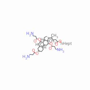 CCCCCCCOC(=O)CC[C@@H](C)[C@H]1CC[C@H]2C3[C@H](OC(=O)CCN)CC4C[C@H](OC(=O)CCN)CC[C@]4(C)[C@H]3C[C@H](OC(=O)CCN)[C@]12C